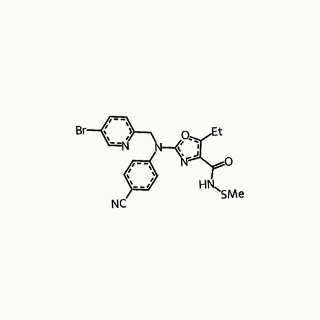 CCc1oc(N(Cc2ccc(Br)cn2)c2ccc(C#N)cc2)nc1C(=O)NSC